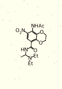 CCN(CC)C(C)NC(=O)c1cc([N+](=O)[O-])c(NC(C)=O)c2c1OCCO2